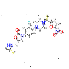 CC(=S)NC[C@H]1CN(c2ccc(N3CCN(C(=S)c4ccc([N+](=O)[O-])o4)CC3)c(F)c2)C(=O)O1